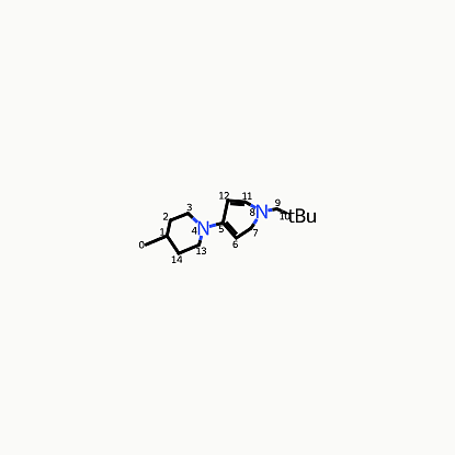 CC1CCN(C2=CCN(CC(C)(C)C)C=C2)CC1